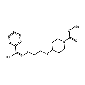 CC(=NOCCOC1CCN(C(=O)OC(C)(C)C)CC1)c1ccncc1